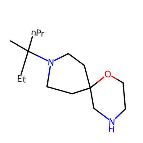 CCCC(C)(CC)N1CCC2(CC1)CNCCO2